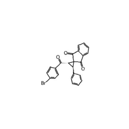 O=C(c1ccc(Br)cc1)[C@H]1[C@H](c2ccccc2)C12C(=O)c1ccccc1C2=O